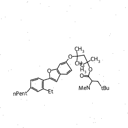 CCCCCc1ccc(-c2cc3ccc(OC(C)(C)CC(C)(C)OC(=O)C(CC(C)(C)C)NC)cc3o2)c(CC)c1